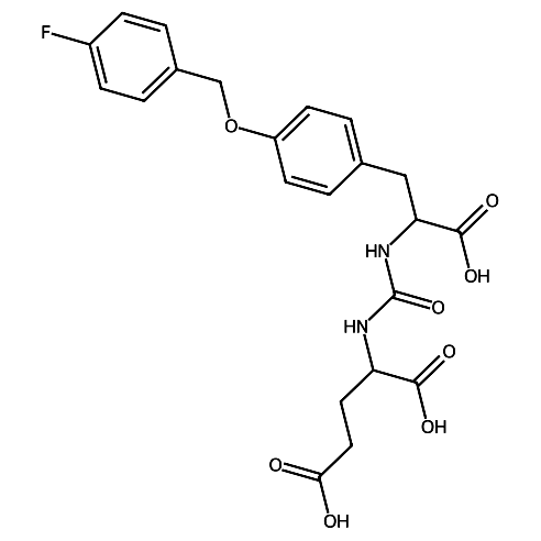 O=C(O)CCC(NC(=O)NC(Cc1ccc(OCc2ccc(F)cc2)cc1)C(=O)O)C(=O)O